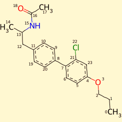 CCCOc1ccc(-c2ccc(CC(C)NC(C)=O)cc2)c(Cl)c1